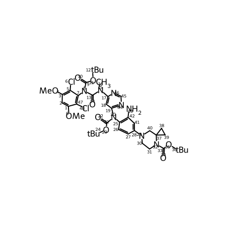 COc1cc(OC)c(Cl)c(N(C(=O)OC(C)(C)C)C(=O)N(C)c2cc(N(C(=O)OC(C)(C)C)c3ccc(N4CCN(C(=O)OC(C)(C)C)C5(CC5)C4)cc3N)ncn2)c1Cl